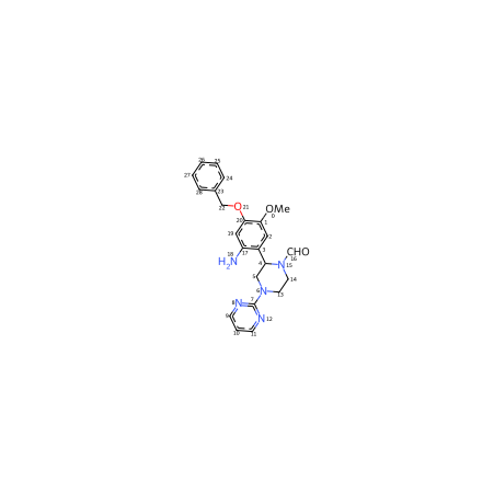 COc1cc(C2CN(c3ncccn3)CCN2C=O)c(N)cc1OCc1ccccc1